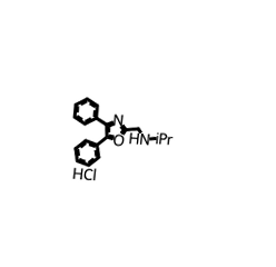 CC(C)NCc1nc(-c2ccccc2)c(-c2ccccc2)o1.Cl